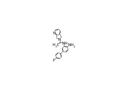 C=C(Nc1cc(-c2ccc(F)cc2)ccc1N)N1Cc2cccnc2C1